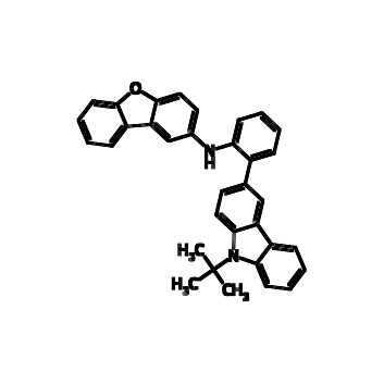 CC(C)(C)n1c2ccccc2c2cc(-c3ccccc3Nc3ccc4oc5ccccc5c4c3)ccc21